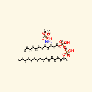 CCCCCCCCCCCCCCCC(C)OS(=O)(=O)O.CCCCCCCCCCCCOS(=O)(=O)O.N.O=S(=O)([O-])O.[Na+]